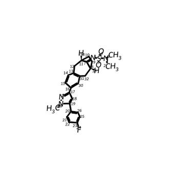 CN(C)S(=O)(=O)/N=C1\[C@@H]2CC[C@H]1Cc1ccc(-c3cc(-c4ccc(F)cc4)n(C)n3)cc1C2